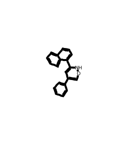 C1=C(c2ccccc2)C=C(c2cccc3ccccc23)NO1